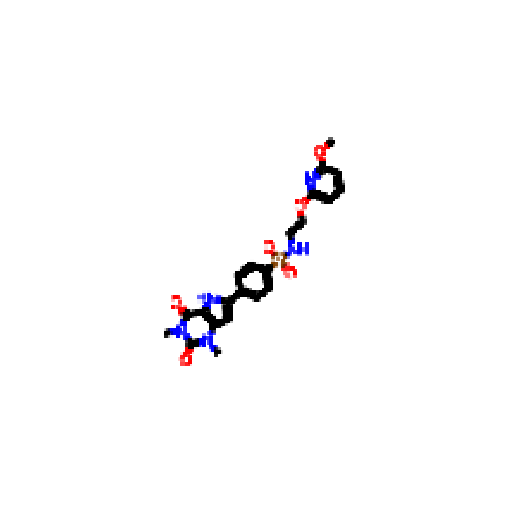 COc1cccc(OCCNS(=O)(=O)c2ccc(-c3cc4c([nH]3)c(=O)n(C)c(=O)n4C)cc2)n1